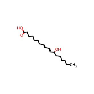 CCCCCCC(O)C=CC=CCCCCCCC(=O)O